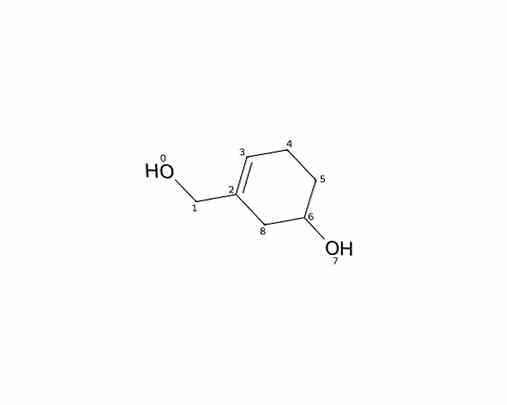 OCC1=CCCC(O)C1